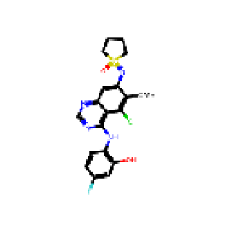 COc1c(N=S2(=O)CCCC2)cc2ncnc(Nc3ccc(F)cc3O)c2c1Cl